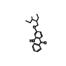 CCC(C)C(CC)COc1ccc(C(=O)c2ccccc2)c(O)c1